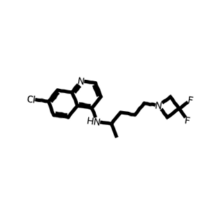 CC(CCCN1CC(F)(F)C1)Nc1ccnc2cc(Cl)ccc12